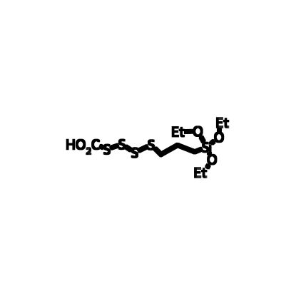 CCO[Si](CCCSSSSC(=O)O)(OCC)OCC